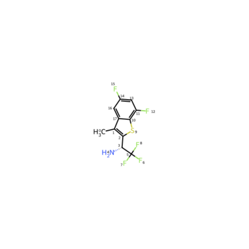 Cc1c([C@@H](N)C(F)(F)F)sc2c(F)cc(F)cc12